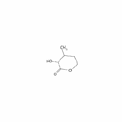 CC1CCOC(=O)C1O